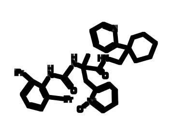 CC(C)c1cccc(C(C)C)c1NC(=O)NC(C)(Cc1cccc[n+]1[O-])C(=O)NCC1(c2ccccn2)CCCCC1